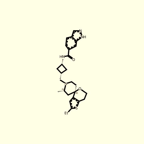 CCc1cc2c(s1)CCO[C@@]21CCN(C[C@H]2C[C@@H](NC(=O)c3ccc4cn[nH]c4c3)C2)[C@@H](C)C1